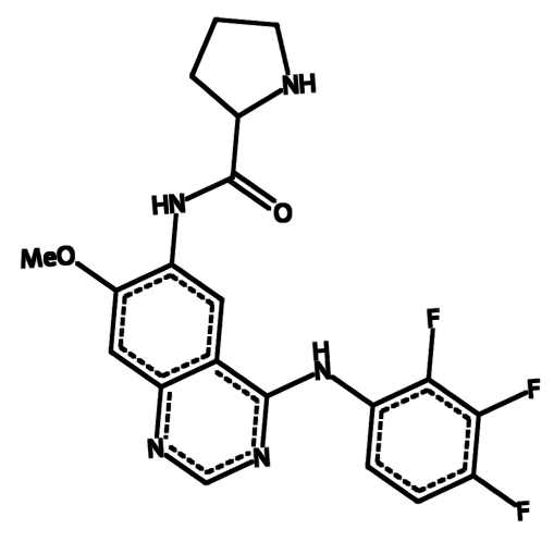 COc1cc2ncnc(Nc3ccc(F)c(F)c3F)c2cc1NC(=O)C1CCCN1